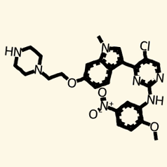 COc1ccc([N+](=O)[O-])cc1Nc1ncc(Cl)c(-c2cn(C)c3cc(OCCN4CCNCC4)ccc23)n1